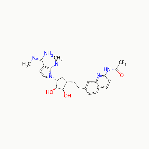 C=Nc1c(/C(N)=N\C)ccn1[C@@H]1C[C@H](CCc2ccc3ccc(NC(=O)C(F)(F)F)nc3c2)[C@@H](O)[C@H]1O